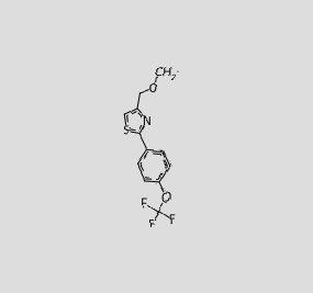 [CH2]OCc1csc(-c2ccc(OC(F)(F)F)cc2)n1